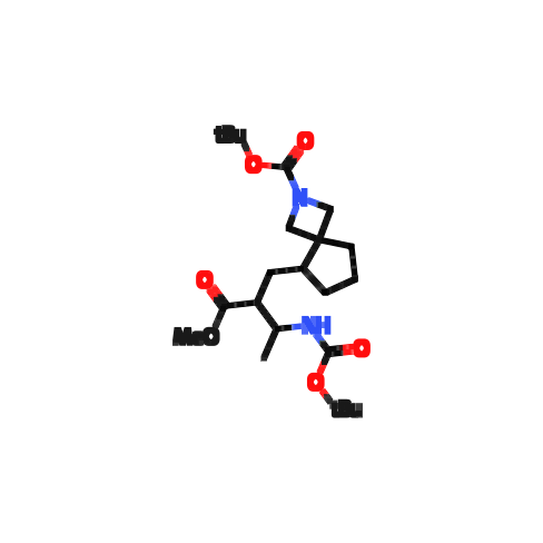 COC(=O)C(CC1CCCC12CN(C(=O)OC(C)(C)C)C2)C(C)NC(=O)OC(C)(C)C